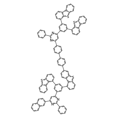 c1ccc(-c2nc(-c3ccc(-c4ccc(-c5ccc6c(c5)sc5cccc(-c7cc(-c8cc(-c9ccc%10ccccc%10c9)nc(-c9ccccc9)n8)cc(-c8cccc9sc%10ccccc%10c89)c7)c56)cc4)cc3)cc(-c3cc(-c4cccc5c4sc4ccccc45)cc(-c4cccc5c4sc4ccccc45)c3)n2)cc1